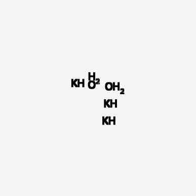 O.O.[KH].[KH].[KH]